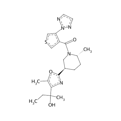 CCC(C)(O)c1nc([C@@H]2CC[C@@H](C)N(C(=O)c3cscc3-n3nccn3)C2)oc1C